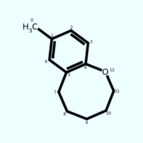 Cc1ccc2c(c1)CCCCCO2